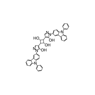 Oc1c(C2C(O)C(c3cnn(-c4ccc5c(c4)c4ccccc4n5-c4ccccc4)c3O)C2O)cnn1-c1ccc2c(c1)c1ccccc1n2-c1ccccc1